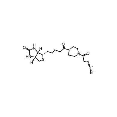 [N-]=[N+]=NCC(=O)N1CCN(C(=O)CCCC[C@@H]2SC[C@@H]3NC(=O)N[C@@H]32)CC1